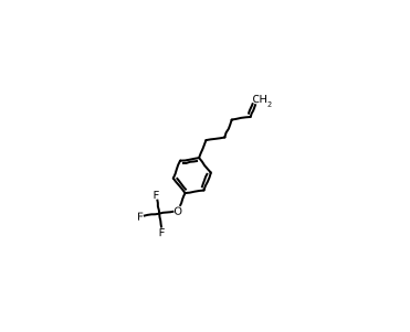 C=CCCCc1ccc(OC(F)(F)F)cc1